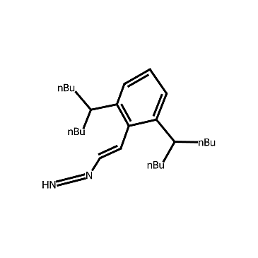 CCCCC(CCCC)c1cccc(C(CCCC)CCCC)c1C=CN=N